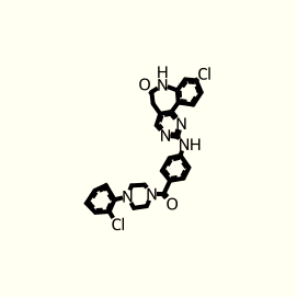 O=C1Cc2cnc(Nc3ccc(C(=O)N4CCN(c5ccccc5Cl)CC4)cc3)nc2-c2ccc(Cl)cc2N1